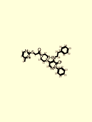 Cc1ccnc(SCC(=O)N2CCN(c3cnn(-c4ccccc4)c(=O)c3NCCc3ccccc3)CC2)n1